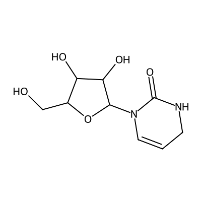 O=C1NCC=CN1C1OC(CO)C(O)C1O